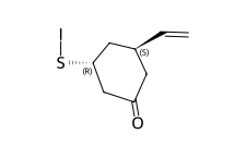 C=C[C@H]1CC(=O)C[C@H](SI)C1